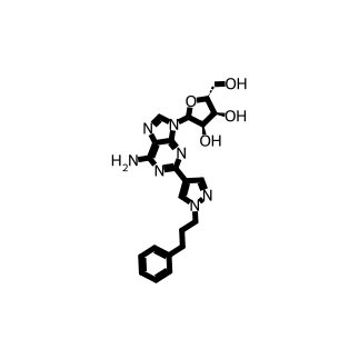 Nc1nc(-c2cnn(CCCc3ccccc3)c2)nc2c1ncn2C1O[C@H](CO)[C@@H](O)[C@H]1O